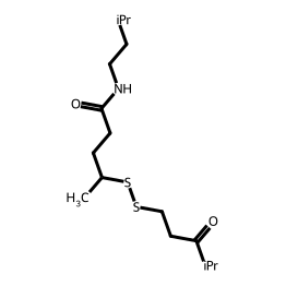 CC(C)CCNC(=O)CCC(C)SSCCC(=O)C(C)C